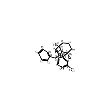 OC1(c2ccnc(Cl)c2)[C@@H]2CCC[C@H]1CN(Cc1ccccc1)C2